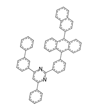 c1ccc(-c2cccc(-c3cc(-c4ccccc4)nc(-c4cccc(-c5c6ccccc6c(-c6ccc7ccccc7c6)c6ccccc56)c4)n3)c2)cc1